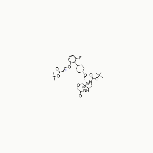 CC(C)(C)OC(=O)/C=C/Oc1cccc(F)c1C1CCC(OC[C@@H]2N(C(=O)OC(C)(C)C)CC[C@@]23COCC(=O)N3)CC1